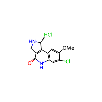 COc1cc2c3c(c(=O)[nH]c2cc1Cl)CN[C@H]3C.Cl